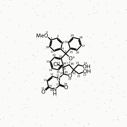 COc1ccc(C(O[C@H]2[C@H](Cl)[C@H](n3ccc(=O)[nH]c3=O)OC2(CO)CO)(c2ccccc2)c2ccccc2)cc1